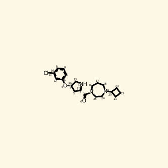 O=C([C@@H]1C[C@@H](Oc2cccc(Cl)c2)CN1)N1CCCN(C2CCC2)CC1